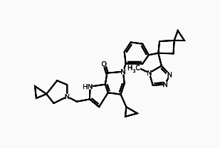 Cn1cnnc1C1(c2cccc(-n3cc(C4CC4)c4cc(CN5CCC6(CC6)C5)[nH]c4c3=O)c2)CC2(CC2)C1